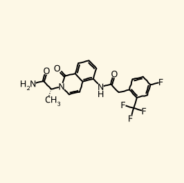 C[C@H](C(N)=O)n1ccc2c(NC(=O)Cc3ccc(F)cc3C(F)(F)F)cccc2c1=O